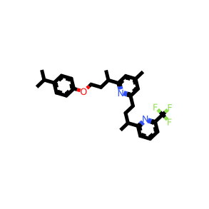 Cc1cc(CCC(C)c2cccc(C(F)(F)F)n2)nc(C(C)CCOc2ccc(C(C)C)cc2)c1